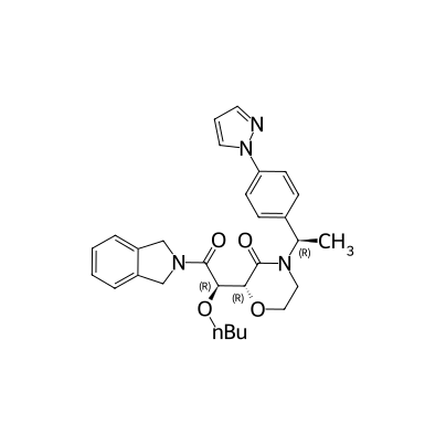 CCCCO[C@@H](C(=O)N1Cc2ccccc2C1)[C@H]1OCCN([C@H](C)c2ccc(-n3cccn3)cc2)C1=O